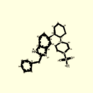 CCS(=O)(=O)N1CCN([C@@H]2CC[CH]C[C@@H]2c2ccc3[nH]c(Cc4ccccc4)nc3c2)CC1